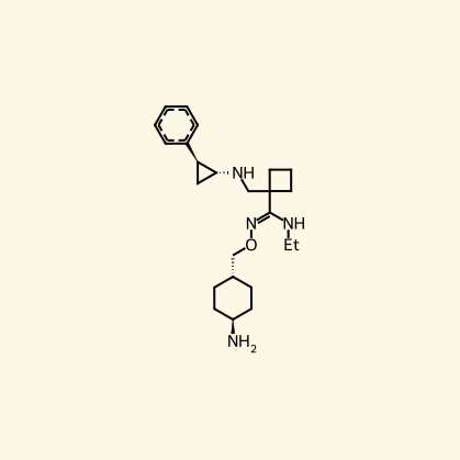 CCN/C(=N\OC[C@H]1CC[C@H](N)CC1)C1(CN[C@@H]2C[C@H]2c2ccccc2)CCC1